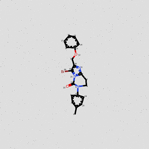 Cc1ccc(N2CCc3nc(COc4ccccc4)c(Br)n3C2=O)cc1